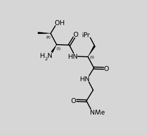 CNC(=O)CNC(=O)[C@H](CC(C)C)NC(=O)[C@@H](N)[C@@H](C)O